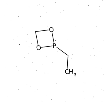 CCP1OCO1